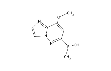 COc1cc(B(C)O)nn2ccnc12